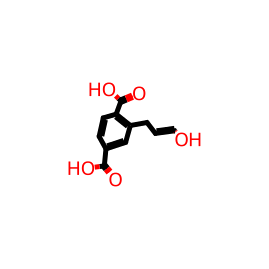 O=C(O)c1ccc(C(=O)O)c(CC=CO)c1